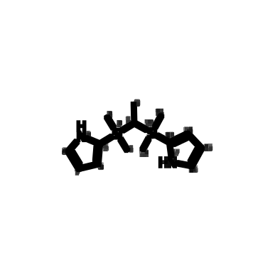 CC([Si](C)(C)c1ccc[nH]1)[Si](C)(C)c1ccc[nH]1